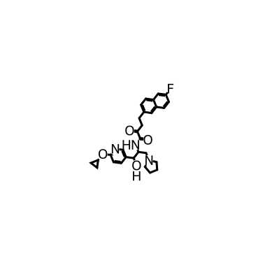 O=C(CCc1ccc2cc(F)ccc2c1)C(=O)NC(CN1CCCC1)C(O)c1ccc(OC2CC2)nc1